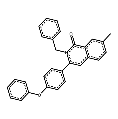 Cc1ccc2cc(-c3ccc(Oc4ccccc4)cc3)n(Cc3ccccc3)c(=O)c2c1